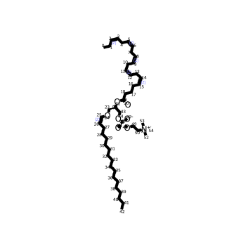 CC/C=C\C/C=C\C/C=C\C/C=C\C/C=C\CCCC(=O)O[C@H](CO/C=C\CCCCCCCCCCCCCCCC)COP(=O)([O-])OCC[N+](C)(C)C